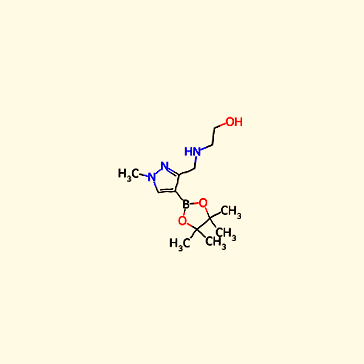 Cn1cc(B2OC(C)(C)C(C)(C)O2)c(CNCCO)n1